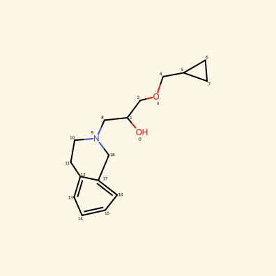 OC(COCC1CC1)CN1CCc2ccccc2C1